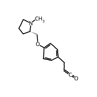 CN1CCC[C@H]1COc1ccc(CC=C=O)cc1